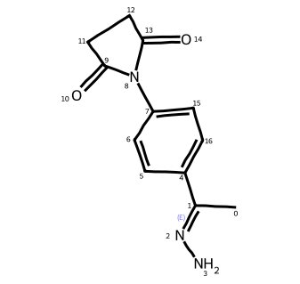 C/C(=N\N)c1ccc(N2C(=O)CCC2=O)cc1